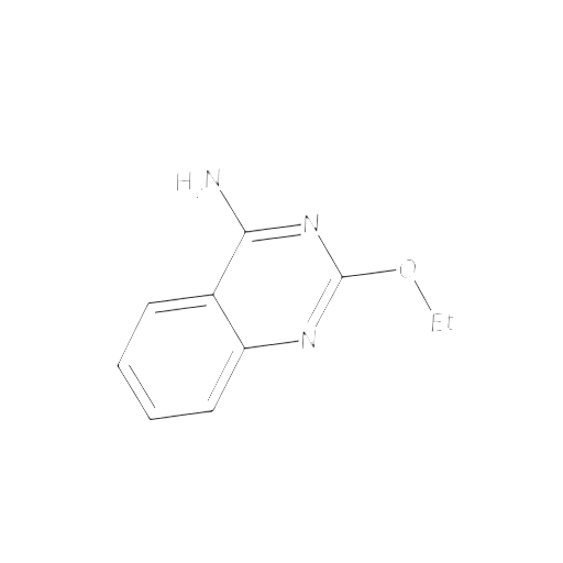 CCOc1nc(N)c2ccccc2n1